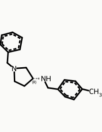 Cc1ccc(CN[C@@H]2CCN(Cc3ccccc3)C2)cc1